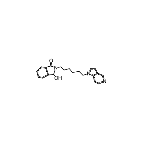 O=C1c2ccccc2C(O)N1CCCCCCn1ccc2cnccc21